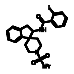 CCCS(=O)(=O)N1CCC2(CC1)c1ccccc1CC2NC(=O)c1ccccc1I